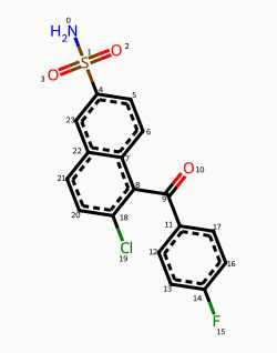 NS(=O)(=O)c1ccc2c(C(=O)c3ccc(F)cc3)c(Cl)ccc2c1